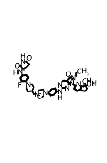 C=CCn1c(=O)c2cnc(Nc3ccc(N4CCN(CC5CCN(c6ccc(N[C@H]7CCC(=O)NC7=O)cc6F)CC5)CC4)cc3)nc2n1-c1ccc2c(n1)[C@](C)(O)CC2